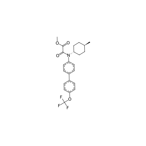 COC(=O)C(=O)N(c1ccc(-c2ccc(OC(F)(F)F)cc2)cc1)[C@H]1CC[C@H](C)CC1